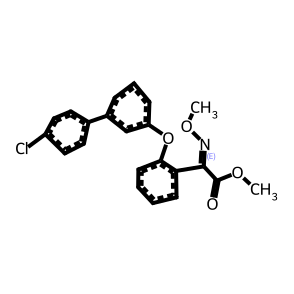 CO/N=C(/C(=O)OC)c1ccccc1Oc1cccc(-c2ccc(Cl)cc2)c1